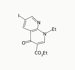 CCOC(=O)c1cn(CC)c2ncc(I)cc2c1=O